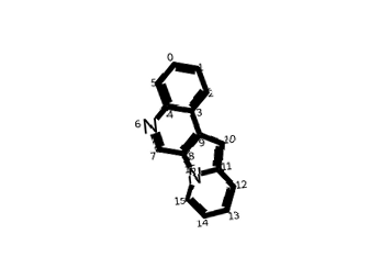 c1ccc2c(c1)ncc1c2cc2ccccn21